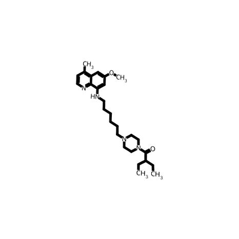 CCC(CC)C(=O)N1CCN(CCCCCCNc2cc(OC)cc3c(C)ccnc23)CC1